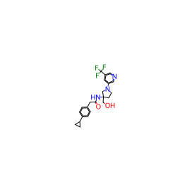 O=C(Cc1ccc(C2CC2)cc1)NC1(CO)CCN(c2cncc(C(F)(F)F)c2)C1